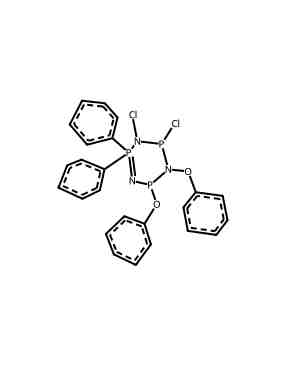 ClN1P(Cl)N(Oc2ccccc2)P(Oc2ccccc2)N=P1(c1ccccc1)c1ccccc1